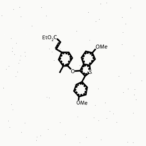 CCOC(=O)/C=C/c1ccc(Oc2c(-c3ccc(OC)cc3)sc3cc(OC)ccc23)c(C)c1